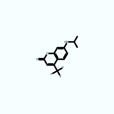 CC(C)Nc1ccc2c(C(F)(F)F)cc(=O)oc2c1